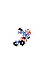 C#CCNC1=NS(=O)(=O)N=C(N(CC)C2COc3c(CN4CCCCC4)cccc3O2)N1C